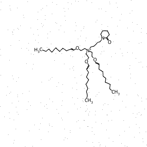 CCCCCCCCC=COCC[N+](CCCCN1CCCCC1=O)(CCOC=CCCCCCCCC)CCOC=CCCCCCCCC